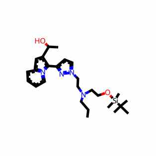 CCCN(CCO[Si](C)(C)C(C)(C)C)CCn1ccc(-c2c(C(C)O)cc3ccccn23)n1